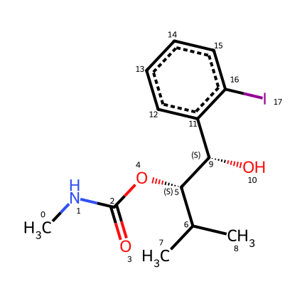 CNC(=O)O[C@@H](C(C)C)[C@@H](O)c1ccccc1I